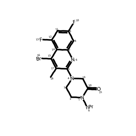 CCCN1CCN(c2nc3cc(F)cc(F)c3c(Br)c2C)CC1=O